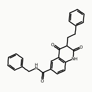 O=C(NCc1ccccc1)c1ccc2c(c1)C(=O)C(CCc1ccccc1)C(=O)N2